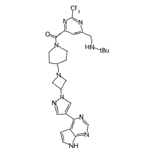 CC(C)(C)NCc1cc(C(=O)N2CCC(N3C[C](n4cc(-c5ncnc6[nH]ccc56)cn4)C3)CC2)nc(C(F)(F)F)n1